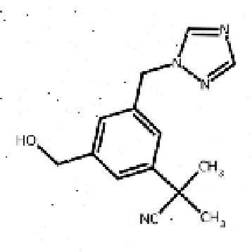 CC(C)(C#N)c1cc(CO)cc(Cn2cncn2)c1